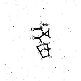 COC(=O)C1(C(=O)N2CC3CCC(C2)O3)CC1